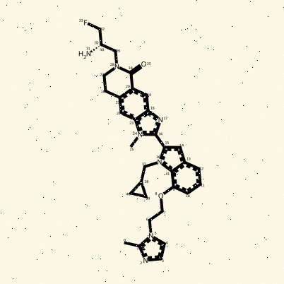 Cc1nccn1CCOc1cccc2cc(-c3nc4cc5c(cc4n3C)CCN(C[C@H](N)CF)C5=O)n(CC3CC3)c12